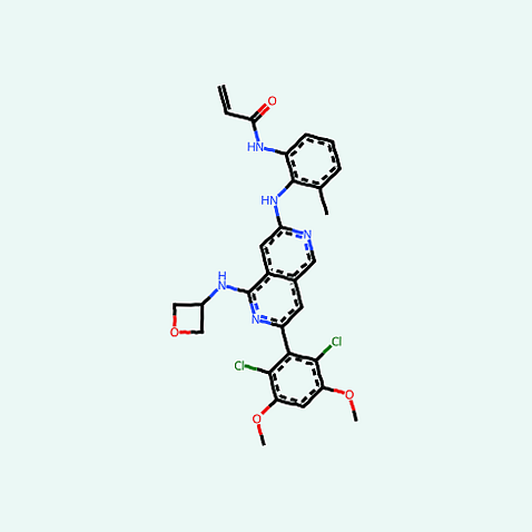 C=CC(=O)Nc1cccc(C)c1Nc1cc2c(NC3COC3)nc(-c3c(Cl)c(OC)cc(OC)c3Cl)cc2cn1